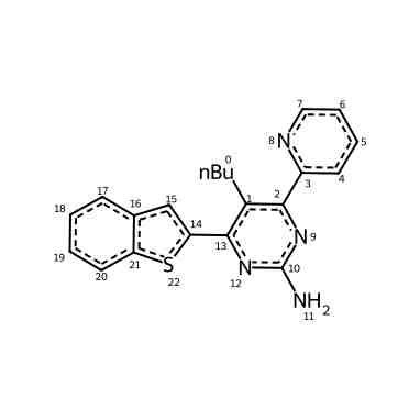 CCCCc1c(-c2ccccn2)nc(N)nc1-c1cc2ccccc2s1